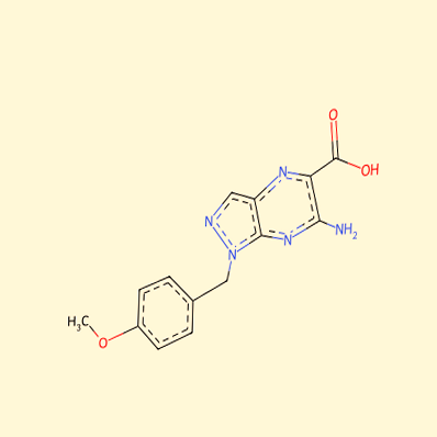 COc1ccc(Cn2ncc3nc(C(=O)O)c(N)nc32)cc1